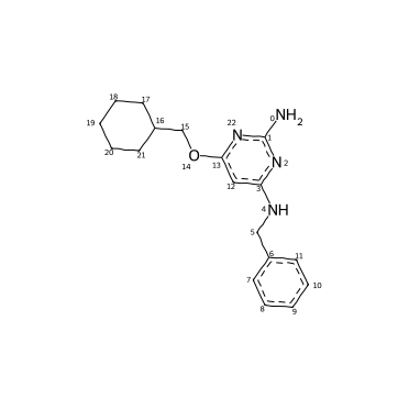 Nc1nc(NCc2ccccc2)cc(OCC2CCCCC2)n1